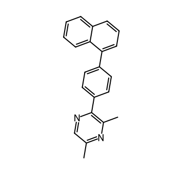 Cc1cnc(-c2ccc(-c3cccc4ccccc34)cc2)c(C)n1